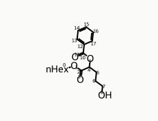 CCCCCCOC(=O)C(CCCO)OC(=O)c1ccccc1